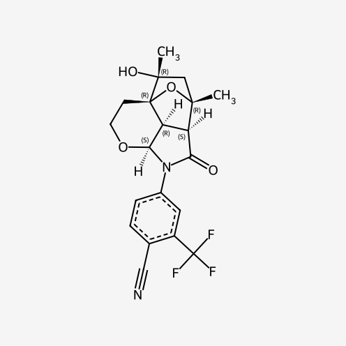 C[C@@]12C[C@@](C)(O)[C@]3(CCO[C@H]4[C@@H]3[C@@H]1C(=O)N4c1ccc(C#N)c(C(F)(F)F)c1)O2